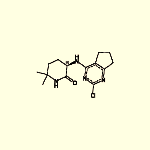 CC1(C)CC[C@@H](Nc2nc(Cl)nc3c2CCC3)C(=O)N1